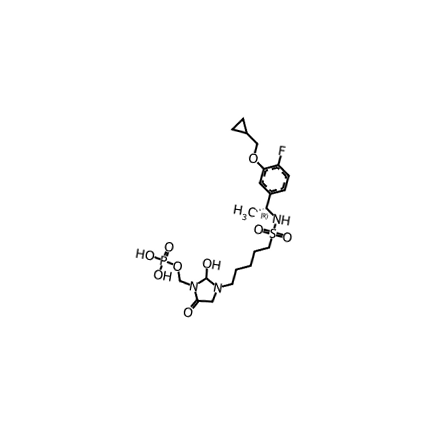 C[C@@H](NS(=O)(=O)CCCCCN1CC(=O)N(COP(=O)(O)O)C1O)c1ccc(F)c(OCC2CC2)c1